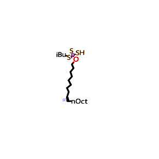 CCCCCCCC/C=C\CCCCCCCCOP(=S)(S)SC(C)CC